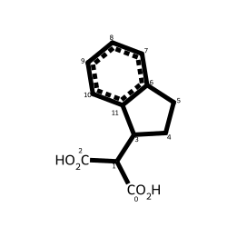 O=C(O)C(C(=O)O)C1CCc2ccccc21